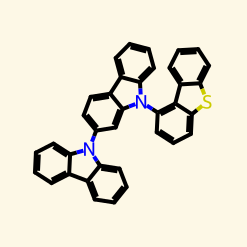 c1ccc2c(c1)sc1cccc(-n3c4ccccc4c4ccc(-n5c6ccccc6c6ccccc65)cc43)c12